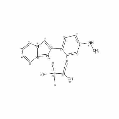 CNc1ccc(-c2cn3ccccc3n2)cc1.O=C(O)C(F)(F)F